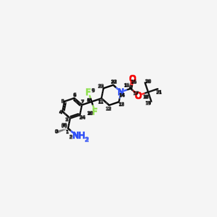 C[C@@H](N)c1cccc(C(F)(F)C2CCN(C(=O)OC(C)(C)C)CC2)c1